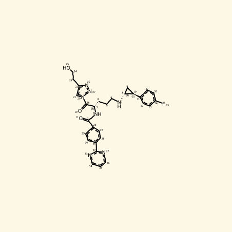 O=C(N[C@@H](CCCN[C@@H]1C[C@H]1c1ccc(F)cc1)C(=O)n1cc(CCO)nn1)c1ccc(-c2ncccn2)cc1